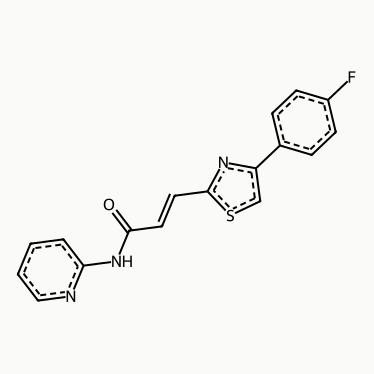 O=C(/C=C/c1nc(-c2ccc(F)cc2)cs1)Nc1ccccn1